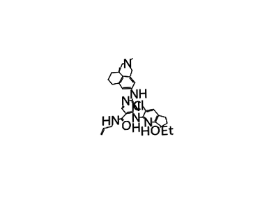 C=CCNC(=O)c1cnc(Nc2cc3c4c(c2)CN(C)CC4(C)CCC3)nc1Nc1nc2c(cc1Cl)CCC2(O)CC